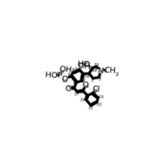 CN1CCC(c2c(O)cc(OP(O)O)c3c(=O)cc(-c4ccccc4Cl)oc23)[C@H](O)C1